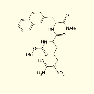 CNC(=O)[C@@H](Cc1ccc2ccccc2c1)NC(=O)C(CCCN(C(=N)N)[N+](=O)[O-])NC(=O)OC(C)(C)C